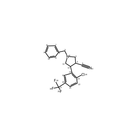 N#CC1CN(Cc2ccccc2)CC1c1cc(C(F)(F)F)ccc1Cl